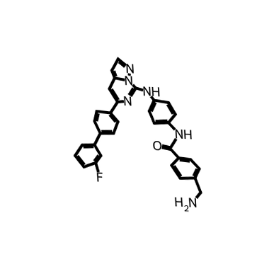 NCc1ccc(C(=O)Nc2ccc(Nc3nc(-c4ccc(-c5cccc(F)c5)cc4)cc4ccnn34)cc2)cc1